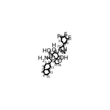 NC(=O)C(c1ccc2ccccc2c1)[C@H]1CCO[C@]12O[C@H](CO)[C@H](O)[C@H](n1cc(-c3cc(F)c(F)c(F)c3)nn1)[C@H]2O